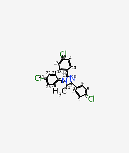 CC1C(c2ccc(Cl)cc2)=NC(c2ccc(Cl)cc2)N1c1ccc(Cl)cc1